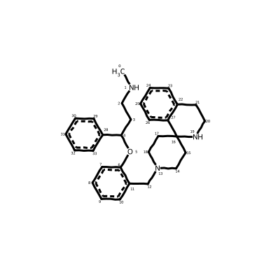 CNCCC(Oc1ccccc1CN1CCC2(CC1)NCCc1ccccc12)c1ccccc1